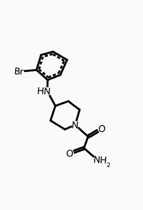 NC(=O)C(=O)N1CCC(Nc2ccccc2Br)CC1